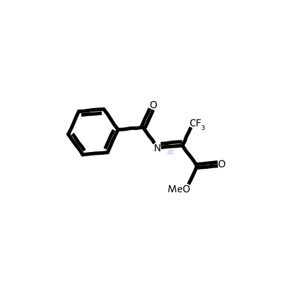 COC(=O)/C(=N/C(=O)c1ccccc1)C(F)(F)F